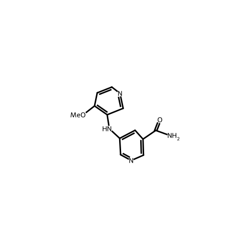 COc1ccncc1Nc1cncc(C(N)=O)c1